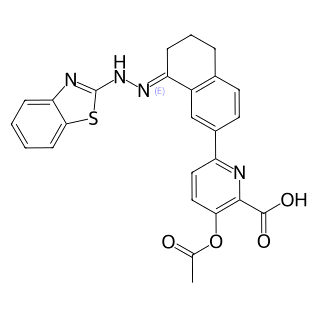 CC(=O)Oc1ccc(-c2ccc3c(c2)/C(=N/Nc2nc4ccccc4s2)CCC3)nc1C(=O)O